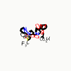 CCC[C@H]1N(C(=O)c2ncccc2C(F)(F)F)CCC[C@@]1(Oc1csc(C(F)(F)F)c1)C(=O)N1CCC(O)(c2ccccc2OCC(C)CC(=O)O)CC1